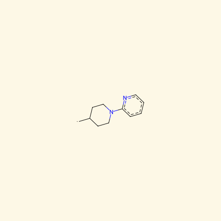 [CH2]C1CCN(c2ccccn2)CC1